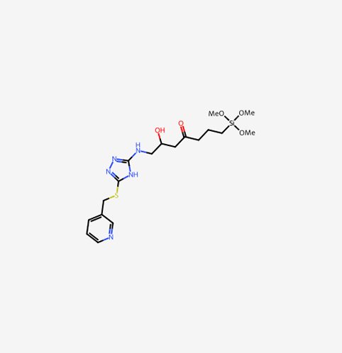 CO[Si](CCCC(=O)CC(O)CNc1nnc(SCc2cccnc2)[nH]1)(OC)OC